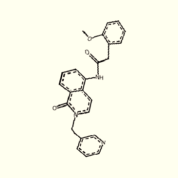 COc1ccccc1CC(=O)Nc1cccc2c(=O)n(Cc3cccnc3)ccc12